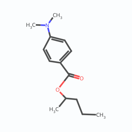 CCCC(C)OC(=O)c1ccc(N(C)C)cc1